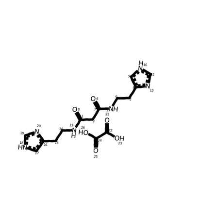 O=C(CC(=O)NCCc1c[nH]cn1)NCCc1c[nH]cn1.O=C(O)C(=O)O